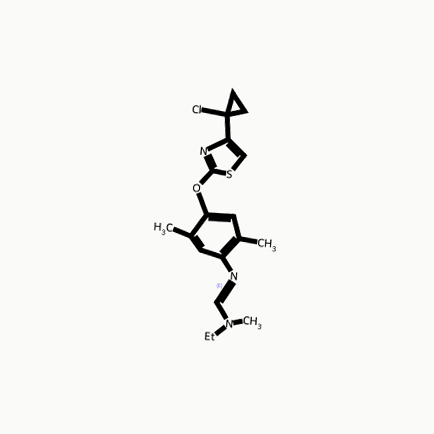 CCN(C)/C=N/c1cc(C)c(Oc2nc(C3(Cl)CC3)cs2)cc1C